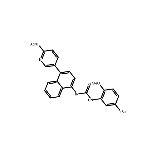 COc1ccc(C(C)(C)C)cc1NC(=O)Nc1ccc(-c2ccc(NC(C)=O)nc2)c2ccccc12